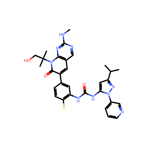 CNc1ncc2cc(-c3ccc(F)c(NC(=O)Nc4cc(C(C)C)nn4-c4cccnc4)c3)c(=O)n(C(C)(C)CO)c2n1